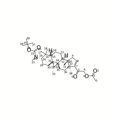 CC(=O)OCC(=O)C1=CC[C@@]2(C)[C@@H]3CC[C@H]4C(C)(C)[C@@H](N(C)C(=O)OC(C)(C)C)CC[C@@]45[C@@H](C)[C@@]35CC[C@]12C